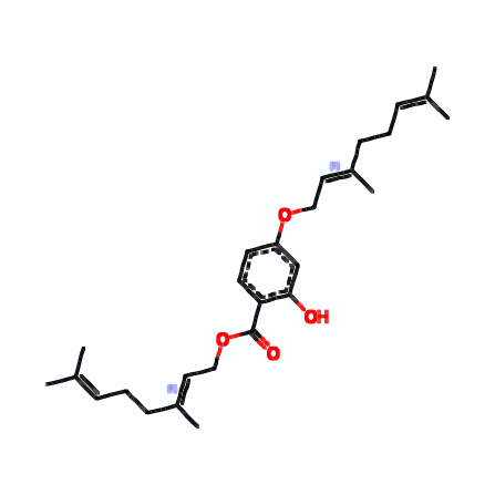 CC(C)=CCC/C(C)=C/COC(=O)c1ccc(OC/C=C(\C)CCC=C(C)C)cc1O